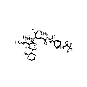 CC[C@H](C)[C@H](NC(=O)[C@H]1CCCCN1C)C(=O)N(C)[C@H](C=C(C)C(=O)NS(=O)(=O)c1ccc(NC(=O)C(F)(F)F)cc1)C(C)C